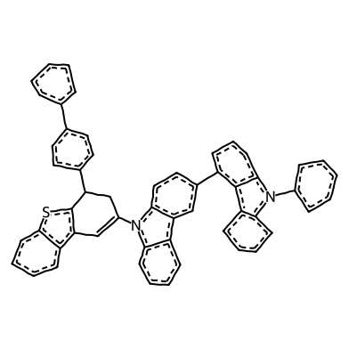 C1=C(n2c3ccccc3c3cc(-c4cccc5c4c4ccccc4n5-c4ccccc4)ccc32)CC(c2ccc(-c3ccccc3)cc2)c2sc3ccccc3c21